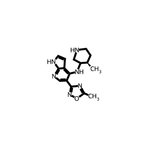 Cc1nc(-c2cnc3[nH]ccc3c2NC2CNCC[C@H]2C)no1